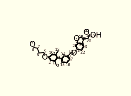 Cc1cc(OCCCC=O)cc(C)c1-c1cccc(COc2ccc3c(c2)OCC3CC(=O)O)c1